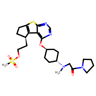 CN(CC(=O)N1CCCC1)[C@H]1CC[C@H](Oc2ncnc3sc4c(c23)[C@@H](CCOS(C)(=O)=O)CC4)CC1